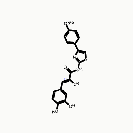 COc1ccc(-c2csc(NC(=O)/C(C#N)=C/c3ccc(O)c(O)c3)n2)cc1